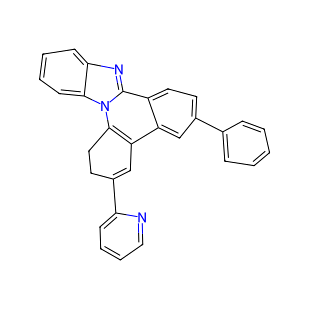 C1=C(c2ccccn2)CCc2c1c1cc(-c3ccccc3)ccc1c1nc3ccccc3n21